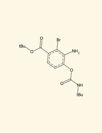 CC(C)(C)NC(=O)Oc1ccc(C(=O)OC(C)(C)C)c(Br)c1N